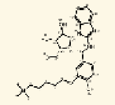 C[N+](C)(C)CCCCCOc1cc(CNc2nc3ccccc3n2[C@@H]2O[C@H](CO)[C@@H](O)[C@H]2O)ccc1O